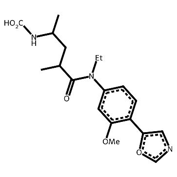 CCN(C(=O)C(C)CC(C)NC(=O)O)c1ccc(-c2cnco2)c(OC)c1